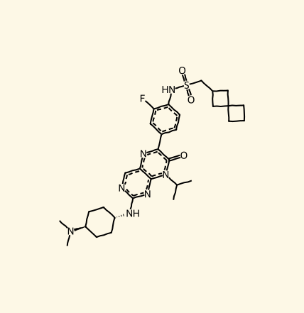 CC(C)n1c(=O)c(-c2ccc(NS(=O)(=O)CC3CC4(CCC4)C3)c(F)c2)nc2cnc(N[C@H]3CC[C@H](N(C)C)CC3)nc21